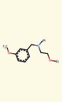 CCOCCN(Cc1cccc(OC(F)(F)F)c1)C(C)C